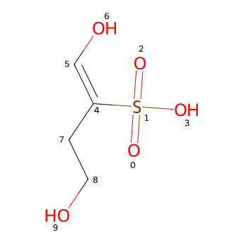 O=S(=O)(O)C(=CO)CCO